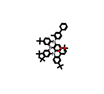 Cc1cc(C2C=CC=CC2)ccc1N1c2ccc(C(C)(C)C)cc2B2c3cc4c(cc3N(c3ccc(C(C)(C)C)cc3-c3ccccc3)c3cc(C(C)(C)C)cc1c32)C(C)(C)CC4(C)C